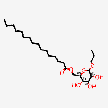 CCCCCCCCCCCCCCCC(=O)OC[C@H]1OC(OCCC)[C@H](O)[C@@H](O)[C@@H]1O